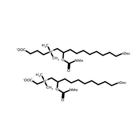 CCCCCCCCCCCCCCCCCCC(C[N+](C)(C)CC(=O)[O-])OC(=O)NC.CCCCCCCCCCCCCCCCCCC(C[N+](C)(C)CCCC(=O)[O-])OC(=O)NC